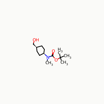 CN(C(=O)OC(C)(C)C)[C@H]1CC[C@@H](CO)CC1